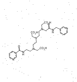 O=C(O)CN(CCNC(=O)c1cccnc1)CCN(CCN(CC(=O)O)CC(=O)NCc1cccnc1)CC(=O)O